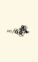 COc1cc(C#N)c(O[C@H]2CC[C@@](C)(C(=O)O)CC2)cc1C(=O)N[C@@H]1[C@H]2CC[C@H](C2)[C@@H]1C(=O)NCC1(CF)CC1